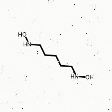 ONCCCCCNO